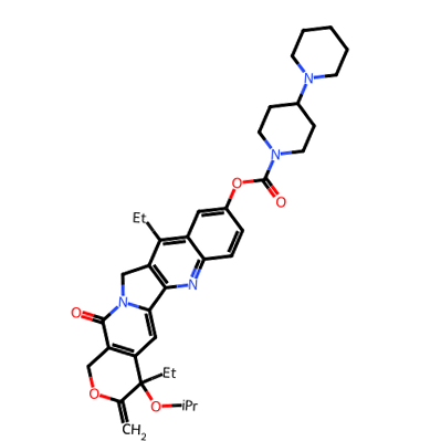 C=C1OCc2c(cc3n(c2=O)Cc2c-3nc3ccc(OC(=O)N4CCC(N5CCCCC5)CC4)cc3c2CC)C1(CC)OC(C)C